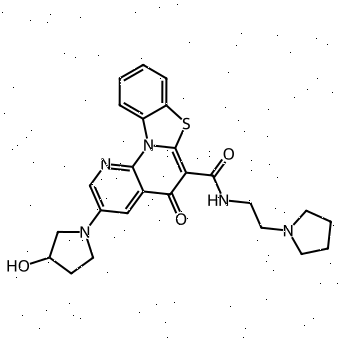 O=C(NCCN1CCCC1)c1c(=O)c2cc(N3CCC(O)C3)cnc2n2c1sc1ccccc12